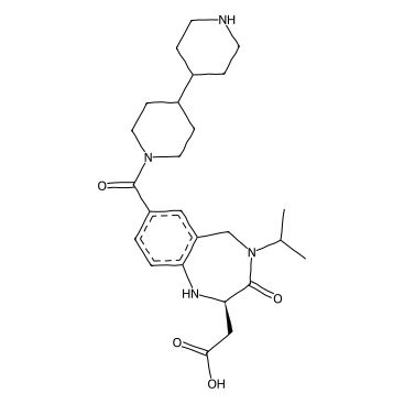 CC(C)N1Cc2cc(C(=O)N3CCC(C4CCNCC4)CC3)ccc2N[C@H](CC(=O)O)C1=O